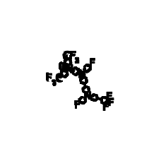 Fc1ccc(N(c2ccc(-c3ccc(N(c4ccc(F)cc4)c4ccc(N5c6ccc(C(F)(F)F)cc6Oc6cc(C(F)(F)F)ccc65)cc4)cc3)cc2)c2ccc(-c3cc(F)c(F)c(F)c3)cc2)cc1